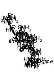 CCNCC(CN)(CN)NC(=O)CCCC(=O)NCCCC[C@H](NC(=O)C(CCC(N)=O)NC(=O)C1CCC(=O)N1)C(=O)NC(CC(C)C)C(=O)NCC(=O)NC(CC(N)=O)C(=O)N[C@@H](CCC(N)=O)C(=O)NC(Cc1c[nH]c2ccccc12)C(=O)N[C@@H](C)C(=O)NC(C(=O)NCC(=O)NC(Cc1c[nH]cn1)C(=O)N[C@@H](CC(C)C)C(=O)NC(CCSC)C(N)=O)C(C)C